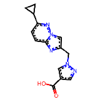 O=C(O)c1cnn(Cc2cn3nc(C4CC4)ccc3n2)c1